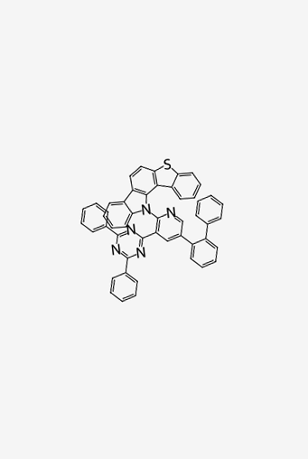 c1ccc(-c2nc(-c3ccccc3)nc(-c3cc(-c4ccccc4-c4ccccc4)cnc3-n3c4ccccc4c4ccc5sc6ccccc6c5c43)n2)cc1